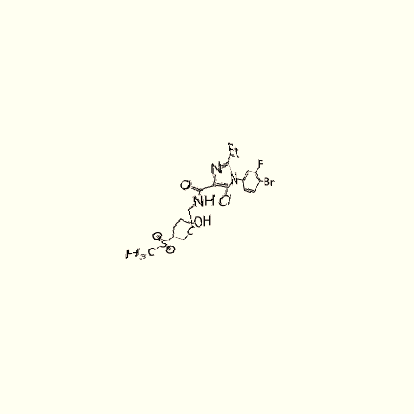 CCc1nc(C(=O)NCC2(O)CCC(S(C)(=O)=O)CC2)c(Cl)n1-c1ccc(Br)c(F)c1